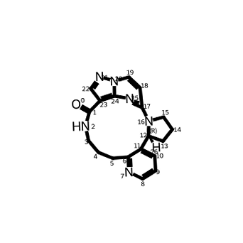 O=C1NCCCc2ncccc2[C@H]2CCCN2c2ccn3ncc1c3n2